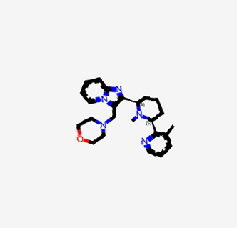 Cc1cccnc1[C@@H]1CCC[C@H](c2nc3ccccn3c2CN2CCOCC2)N1C